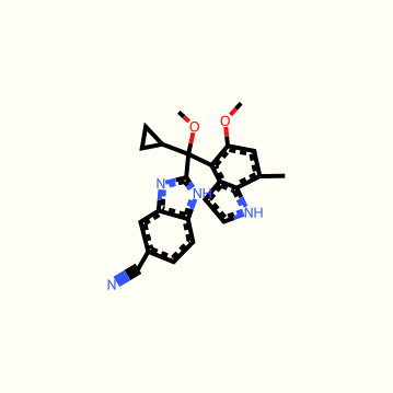 COc1cc(C)c2[nH]ccc2c1C(OC)(c1nc2cc(C#N)ccc2[nH]1)C1CC1